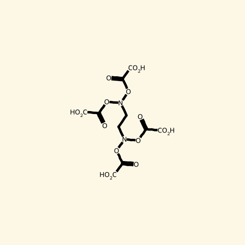 O=C(O)C(=O)ON(CCN(OC(=O)C(=O)O)OC(=O)C(=O)O)OC(=O)C(=O)O